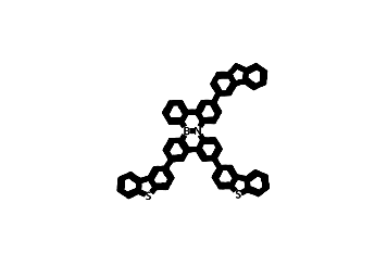 c1ccc2c(c1)Cc1ccc(-c3ccc4c(c3)-c3ccccc3B3c5ccc(-c6ccc7sc8ccccc8c7c6)cc5-c5cc(-c6ccc7sc8ccccc8c7c6)ccc5N34)cc1-2